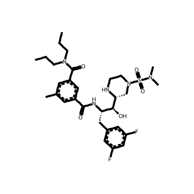 CCCN(CCC)C(=O)c1cc(C)cc(C(=O)N[C@@H](Cc2cc(F)cc(F)c2)[C@H](O)[C@H]2CN(S(=O)(=O)N(C)C)CCN2)c1